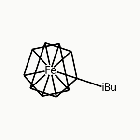 CCC(C)[C]12[CH]3[CH]4[CH]5[CH]1[Fe]45321678[CH]2[CH]1[CH]6[CH]7[CH]28